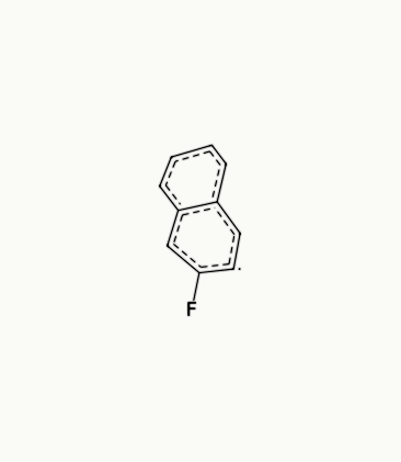 Fc1[c]cc2ccccc2c1